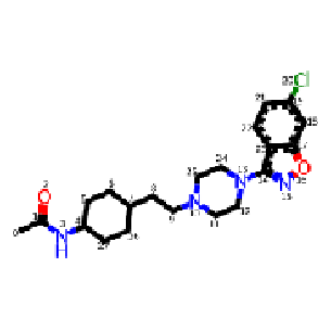 CC(=O)NC1CCC(CCN2CCN(c3noc4cc(Cl)ccc34)CC2)CC1